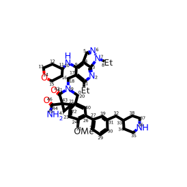 CCc1nc2c(cnn2CC)c(NC2CCOCC2)c1CN(Cc1ccc(OC)c(-c2cccc(CC3CCNCC3)c2)c1)C(=O)C1(C(N)=O)CC1